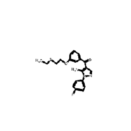 CCSCCOc1cccc(C(=O)c2cnn(-c3ccc(F)cc3)c2N)c1